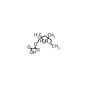 CCCC(C)(C)CC(C)(C)CCOC(=O)C(=O)O